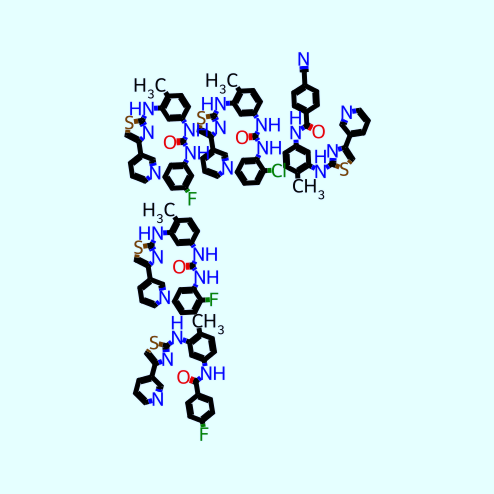 Cc1ccc(NC(=O)Nc2cccc(F)c2)cc1Nc1nc(-c2cccnc2)cs1.Cc1ccc(NC(=O)Nc2ccccc2Cl)cc1Nc1nc(-c2cccnc2)cs1.Cc1ccc(NC(=O)Nc2ccccc2F)cc1Nc1nc(-c2cccnc2)cs1.Cc1ccc(NC(=O)c2ccc(C#N)cc2)cc1Nc1nc(-c2cccnc2)cs1.Cc1ccc(NC(=O)c2ccc(F)cc2)cc1Nc1nc(-c2cccnc2)cs1